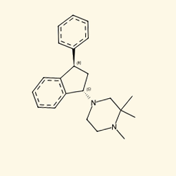 CN1CCN([C@H]2C[C@H](c3ccccc3)c3ccccc32)CC1(C)C